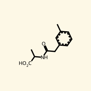 Cc1cccc(CC(=O)NC(C)C(=O)O)c1